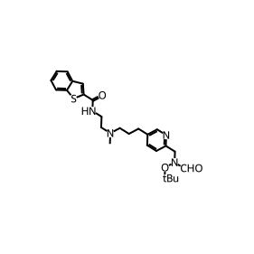 CN(CCCc1ccc(CN(C=O)OC(C)(C)C)nc1)CCNC(=O)c1cc2ccccc2s1